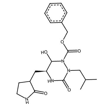 CC(C)CN1C(=O)N[C@@H](CC2CCNC2=O)C(O)N1C(=O)OCc1ccccc1